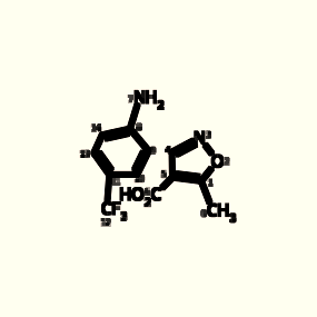 Cc1oncc1C(=O)O.Nc1ccc(C(F)(F)F)cc1